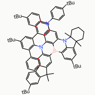 CC(C)(C)c1ccc(N(c2ccc(C(C)(C)C)cc2)c2cc3c4c(c2)N2c5c(cc(C(C)(C)C)cc5C5(C)CCCCC25C)B4c2cc4c(cc2N3c2c(-c3ccccc3)cc(C(C)(C)C)cc2-c2ccccc2)-c2ccc(C(C)(C)C)cc2C4(C)C)cc1